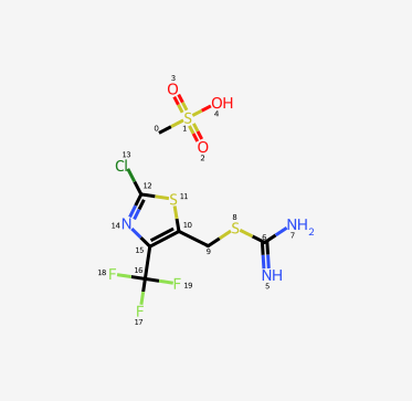 CS(=O)(=O)O.N=C(N)SCc1sc(Cl)nc1C(F)(F)F